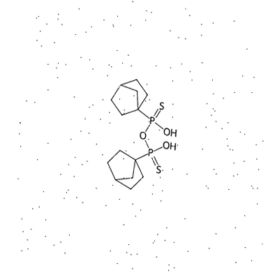 OP(=S)(OP(O)(=S)C12CCC(CC1)C2)C12CCC(CC1)C2